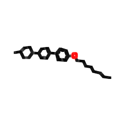 CCCCCCCCOc1ccc(C2=CCC(C3CCC(C)CC3)C=C2)cc1